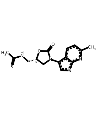 CC(=S)NC[C@H]1CN(c2csc3nc(C)ccc23)C(=O)O1